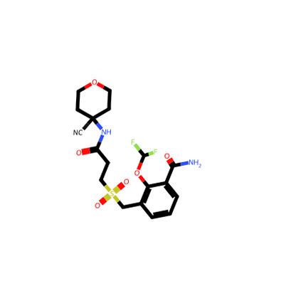 N#CC1(NC(=O)[CH]CS(=O)(=O)Cc2cccc(C(N)=O)c2OC(F)F)CCOCC1